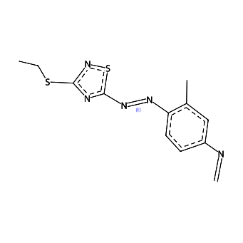 C=Nc1ccc(/N=N/c2nc(SCC)ns2)c(C)c1